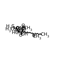 CCCCCCC[C@@H](CCCCCC/C=C/C(C(=O)N[C@@H](Cc1ccc(OC(C)CC)cc1)C(=O)OC)[C@@](O)(CC(=O)O)C(=O)O)OC